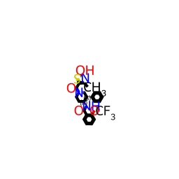 Cc1nc(O)sc1C(=O)N1CC[C@@H](NC(=O)c2ccccc2OC(F)(F)F)[C@@H](c2ccccc2)C1